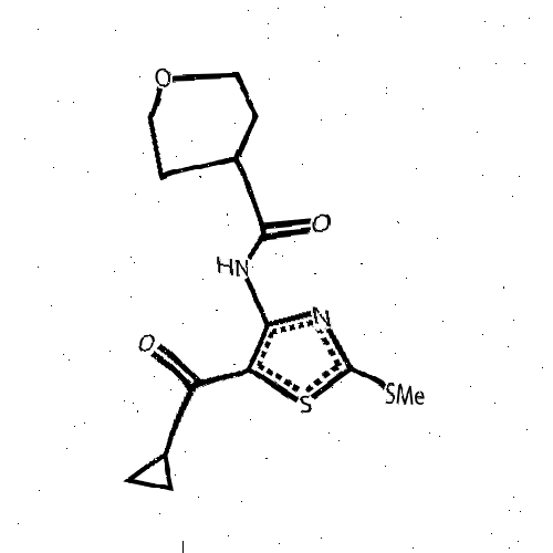 CSc1nc(NC(=O)C2CCOCC2)c(C(=O)C2CC2)s1